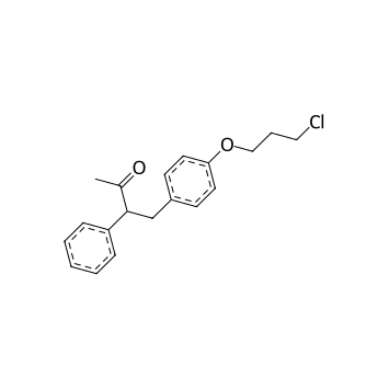 CC(=O)C(Cc1ccc(OCCCCl)cc1)c1ccccc1